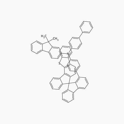 CC1(C)c2ccccc2-c2ccc(N(c3ccc(-c4ccccc4)cc3)c3ccc(-c4cccc5c4C4(c6ccccc6-5)c5ccccc5-c5c4ccc4c5sc5ccccc54)cc3)cc21